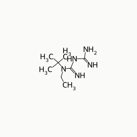 CCN(C(=N)NC(=N)N)C(C)(C)C